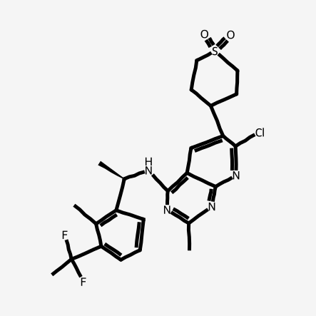 Cc1nc(N[C@H](C)c2cccc(C(C)(F)F)c2C)c2cc(C3CCS(=O)(=O)CC3)c(Cl)nc2n1